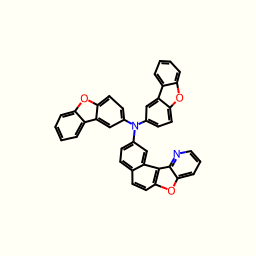 c1ccc2c(c1)oc1ccc(N(c3ccc4oc5ccccc5c4c3)c3ccc4ccc5oc6cccnc6c5c4c3)cc12